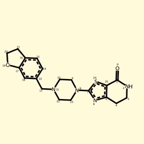 O=C1NCCc2nc(N3CCN(Cc4ccc5c(c4)OCC5)CC3)sc21